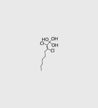 CCCCCC/C(Cl)=C(\Cl)C(O)(O)O